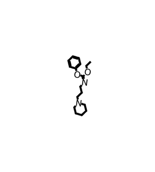 CCOC(=NCCCN1CCCCC1)Oc1ccccc1